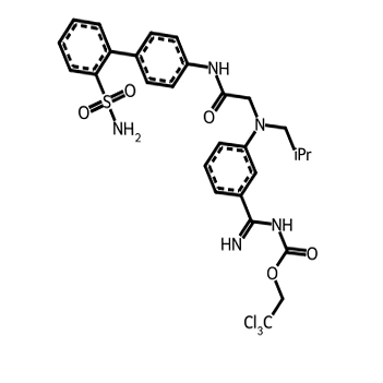 CC(C)CN(CC(=O)Nc1ccc(-c2ccccc2S(N)(=O)=O)cc1)c1cccc(C(=N)NC(=O)OCC(Cl)(Cl)Cl)c1